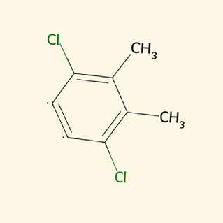 Cc1c(Cl)[c][c]c(Cl)c1C